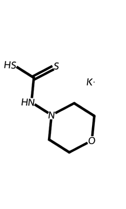 S=C(S)NN1CCOCC1.[K]